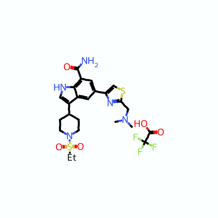 CCS(=O)(=O)N1CCC(c2c[nH]c3c(C(N)=O)cc(-c4csc(CN(C)C)n4)cc23)CC1.O=C(O)C(F)(F)F